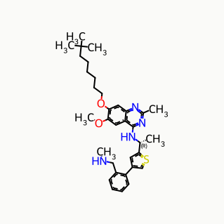 CNCc1ccccc1-c1csc([C@@H](C)Nc2nc(C)nc3cc(OCCCCCCC(C)(C)C)c(OC)cc23)c1